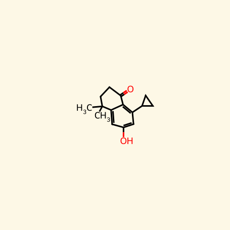 CC1(C)CCC(=O)c2c(C3CC3)cc(O)cc21